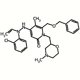 C=CN(Nc1cc(=O)n(CC2CN(C)CCO2)c(COCc2ccccc2)c1C)c1ccccc1Cl